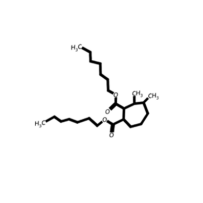 CCCCCCCOC(=O)C1CCCC(C)C(C)C1C(=O)OCCCCCCC